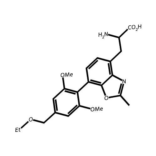 CCOCc1cc(OC)c(-c2ccc(CC(N)C(=O)O)c3nc(C)oc23)c(OC)c1